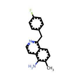 Cc1ccc2c(Cc3ccc(F)cc3)nccc2c1N